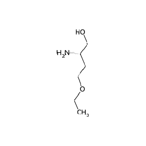 CCOCC[C@H](N)CO